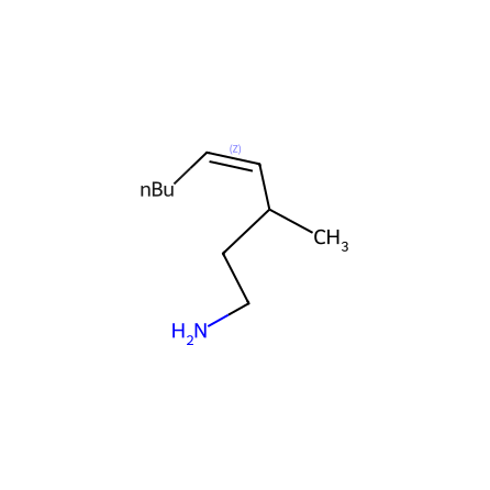 CCCC/C=C\C(C)CCN